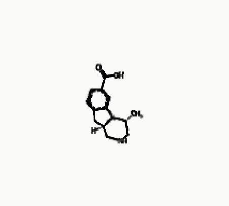 C[C@@H]1CNC[C@H]2Cc3ccc(C(=O)O)cc3N21